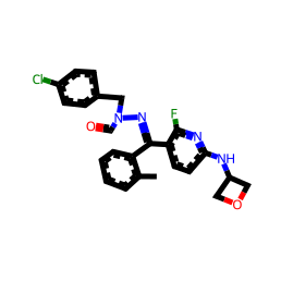 Cc1ccccc1/C(=N\N(C=O)Cc1ccc(Cl)cc1)c1ccc(NC2COC2)nc1F